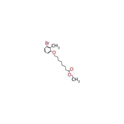 CCOC(=O)CCCCCCCOc1cccc(Br)c1C